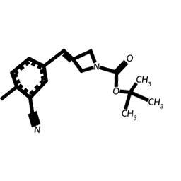 CC(C)(C)OC(=O)N1CC(=Cc2ccc(Br)c(C#N)c2)C1